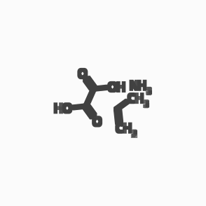 C=CC.N.O=C(O)C(=O)O